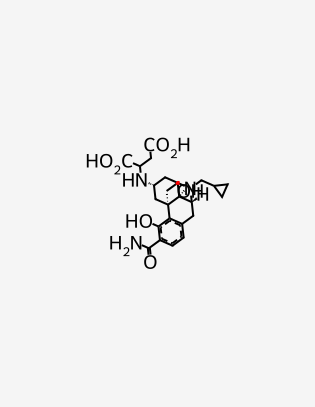 NC(=O)c1ccc2c(c1O)[C@]13CCN(CC4CC4)[C@H](C2)[C@]1(O)CC[C@@H](NC(CC(=O)O)C(=O)O)C3